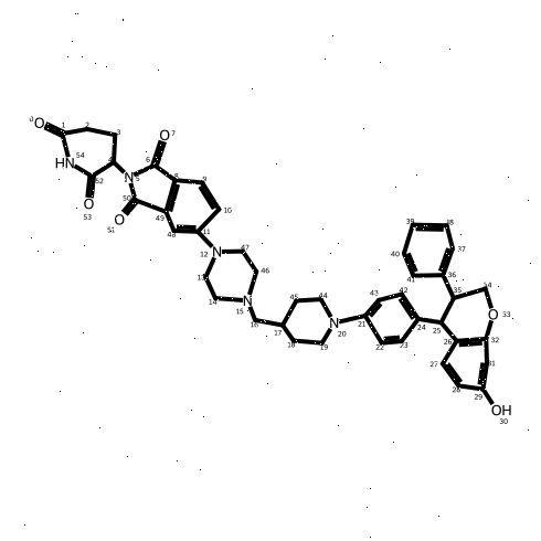 O=C1CCC(N2C(=O)c3ccc(N4CCN(CC5CCN(c6ccc(C7c8ccc(O)cc8OCC7c7ccccc7)cc6)CC5)CC4)cc3C2=O)C(=O)N1